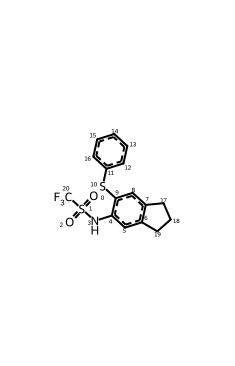 O=S(=O)(Nc1cc2c(cc1Sc1ccccc1)CCC2)C(F)(F)F